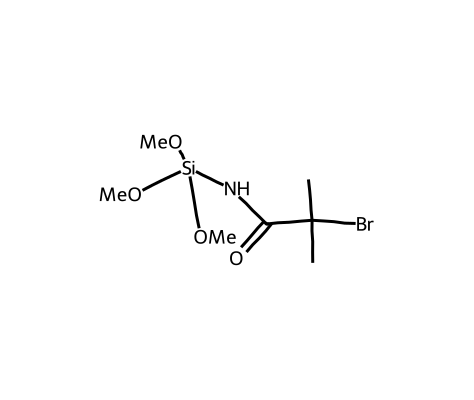 CO[Si](NC(=O)C(C)(C)Br)(OC)OC